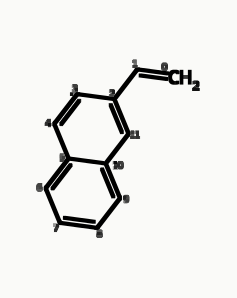 C=Cc1[c]cc2ccccc2c1